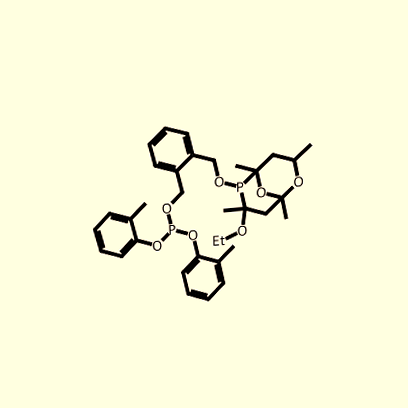 CCOC1(C)CC2(C)OC(C)CC(C)(O2)P1OCc1ccccc1COP(Oc1ccccc1C)Oc1ccccc1C